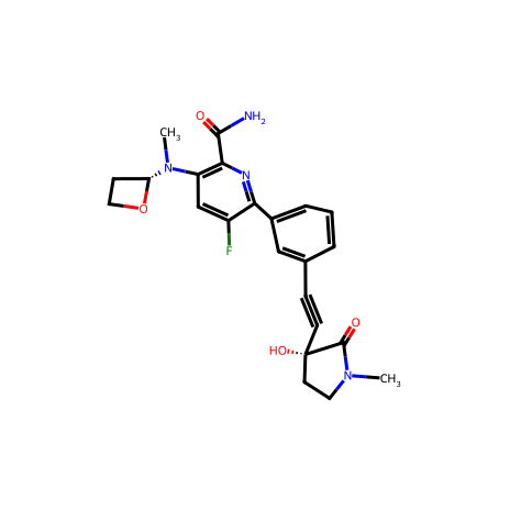 CN1CC[C@@](O)(C#Cc2cccc(-c3nc(C(N)=O)c(N(C)[C@H]4CCO4)cc3F)c2)C1=O